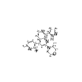 Cc1ccc(-c2cc(N3CCOCC3C)nc3c(-c4ccn[nH]4)nccc23)c(F)n1